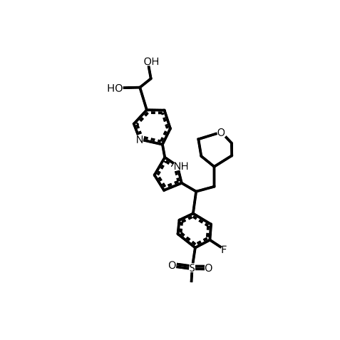 CS(=O)(=O)c1ccc(C(CC2CCOCC2)c2ccc(-c3ccc(C(O)CO)cn3)[nH]2)cc1F